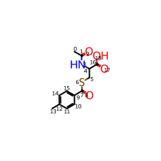 CC(=O)NC(CSC(=O)c1ccc(C)cc1)C(=O)O